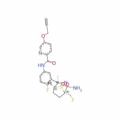 C#CCOc1ccc(C(=O)Nc2ccc(F)c([C@@]3(C)N=C(N)[C@@]4(CF)CC[C@@H]3S4(=O)=O)c2)nc1